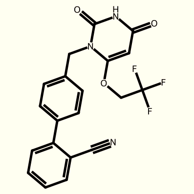 N#Cc1ccccc1-c1ccc(Cn2c(OCC(F)(F)F)cc(=O)[nH]c2=O)cc1